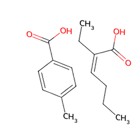 CCCC=C(CC)C(=O)O.Cc1ccc(C(=O)O)cc1